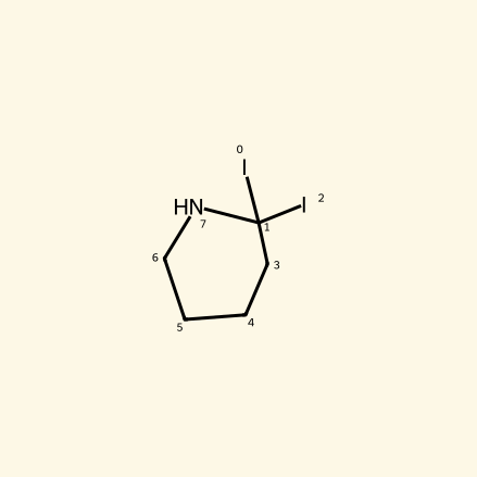 IC1(I)CCCCN1